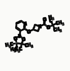 CC(C)(C)OC(=O)N1CC(Oc2ncccc2B2OC(C)(C)C(C)(C)O2)C1